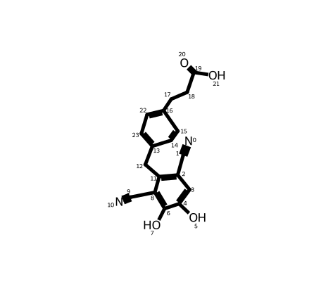 N#Cc1cc(O)c(O)c(C#N)c1Cc1ccc(CCC(=O)O)cc1